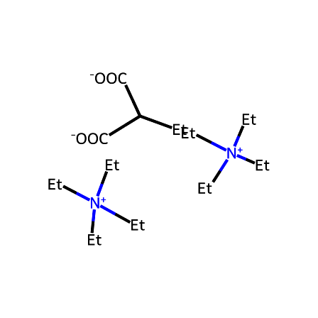 CCC(C(=O)[O-])C(=O)[O-].CC[N+](CC)(CC)CC.CC[N+](CC)(CC)CC